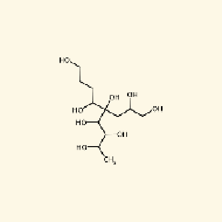 CC(O)C(O)C(O)C(O)(CC(O)CO)C(O)CCCO